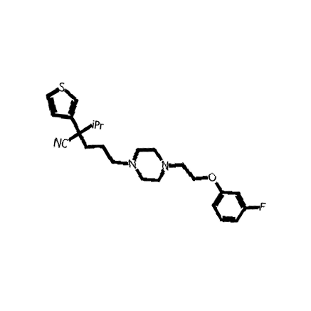 CC(C)C(C#N)(CCCN1CCN(CCOc2cccc(F)c2)CC1)c1ccsc1